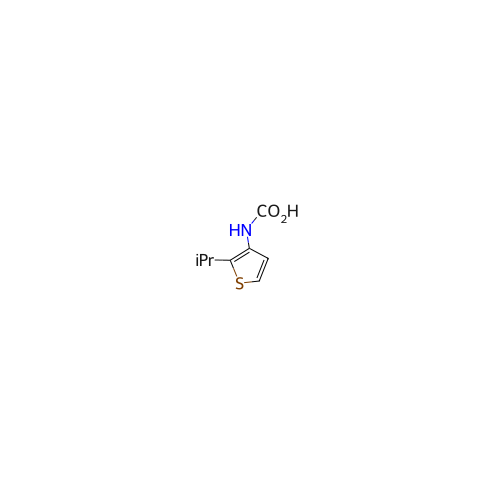 CC(C)c1sccc1NC(=O)O